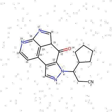 N#CCC(C1CCCC1)n1ncc2c1C(=O)C1C=Nc3nccc-2c31